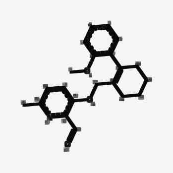 COc1ccccc1C1=C(COc2ccc(C)nc2C=O)CCCC1